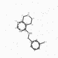 Fc1cccc(CNc2n[c]nc3c2CCOC3)c1